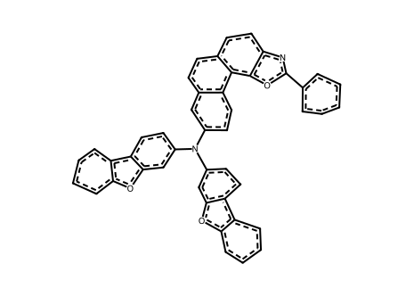 c1ccc(-c2nc3ccc4ccc5cc(N(c6ccc7c(c6)oc6ccccc67)c6ccc7c(c6)oc6ccccc67)ccc5c4c3o2)cc1